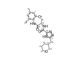 Cc1cc(F)c2c(c1)OCC(NC(=O)c1nnc(CC3CCCOC3)[nH]1)C(=O)N2